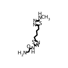 CNc1nnc(CCCCc2nnc(NC(=O)CN)s2)s1